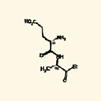 CCC(=O)[C@H](C)NC(=O)[C@@H](N)CCC(=O)O